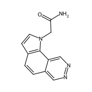 NC(=O)Cn1ccc2ccc3cnncc3c21